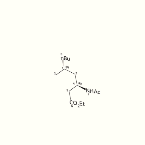 CCCC[C@@H](C)C[C@H](CC(=O)OCC)NC(C)=O